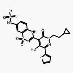 CCS(=O)(=O)Nc1ccc2c(c1)S(=O)(=O)N=C(c1c(O)c(-c3cccs3)nn(CCC3CC3)c1=O)N2